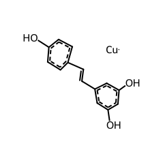 Oc1ccc(C=Cc2cc(O)cc(O)c2)cc1.[Cu]